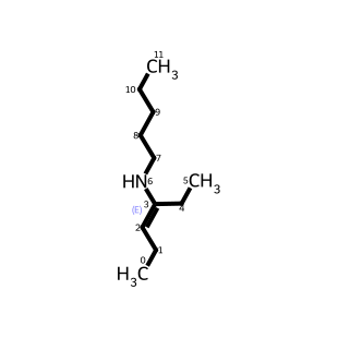 CC/C=C(\CC)NCCCCC